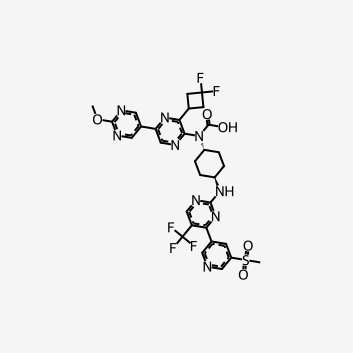 COc1ncc(-c2cnc(N(C(=O)O)[C@H]3CC[C@H](Nc4ncc(C(F)(F)F)c(-c5cncc(S(C)(=O)=O)c5)n4)CC3)c(C3CC(F)(F)C3)n2)cn1